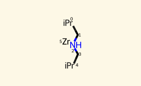 CC(C)CNCC(C)C.[Zr]